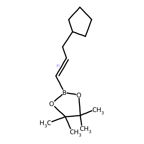 CC1(C)OB(/C=C/CC2CCCC2)OC1(C)C